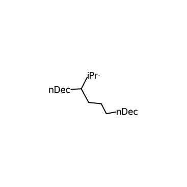 CCCCCCCCCCCCCC(CCCCCCCCCC)[C](C)C